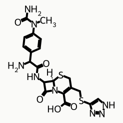 CN(C(N)=O)c1ccc(C(N)C(=O)NC2C(=O)N3C(C(=O)O)=C(CSc4c[nH]nn4)CS[C@H]23)cc1